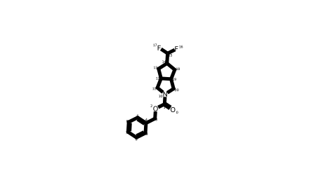 O=C(OCc1ccccc1)N1CC2CC(C(F)F)CC2C1